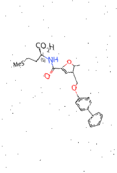 CSCC[C@H](NC(=O)C1=CC(COc2ccc(-c3ccccc3)cc2)C(C)O1)C(=O)O